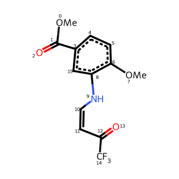 COC(=O)c1ccc(OC)c(N/C=C\C(=O)C(F)(F)F)c1